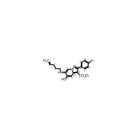 C=CCCCNc1cn2nc(-c3ccc(F)cc3)c(C(=O)OCC)c2cc1O